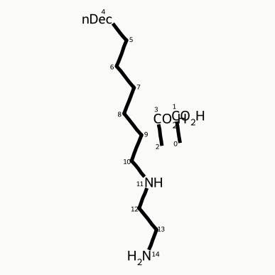 CC(=O)O.CC(=O)O.CCCCCCCCCCCCCCCCNCCN